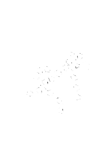 CC1(C)c2ccccc2C2(c3ccccc3-c3ccccc32)c2cc(N(c3ccc(-c4ccc5c(c4)oc4ccccc45)cc3)c3cccc(-c4ccc(-c5cccc6c5-c5ccccc5C65c6ccccc6C(C)(C)c6cc(N(c7ccc(-c8ccccc8)cc7)c7ccc(-c8ccc9oc%10ccccc%10c9c8)cc7)ccc65)cc4)c3)ccc21